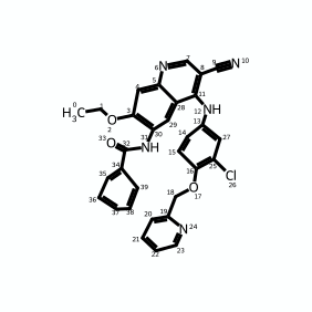 CCOc1cc2ncc(C#N)c(Nc3ccc(OCc4ccccn4)c(Cl)c3)c2cc1NC(=O)c1ccccc1